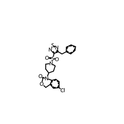 O=C1OCc2cc(Cl)ccc2N1C1CCN(S(=O)(=O)c2nsnc2Cc2ccccc2)CC1